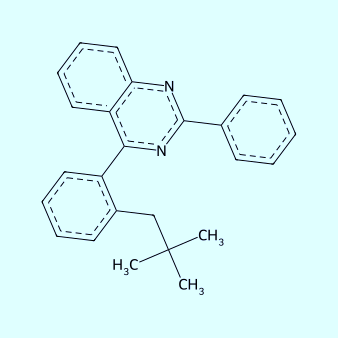 CC(C)(C)Cc1ccccc1-c1nc(-c2ccccc2)nc2ccccc12